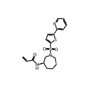 C=CC(=O)NC1CCCCN(S(=O)(=O)c2ccc(-c3ccccn3)s2)C1